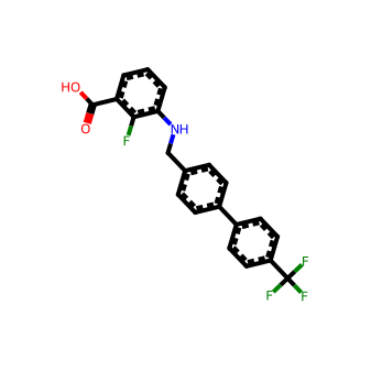 O=C(O)c1cccc(NCc2ccc(-c3ccc(C(F)(F)F)cc3)cc2)c1F